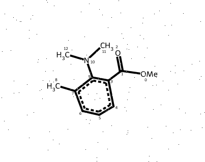 COC(=O)c1cccc(C)c1N(C)C